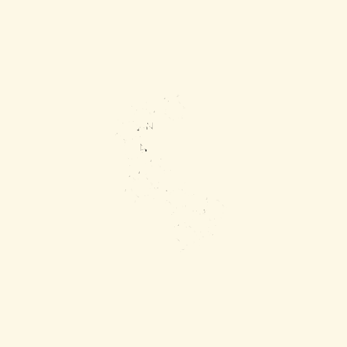 c1ccc(-c2ccc3ccc4ccc(-c5ccc(-c6ccc(-c7c8ccccc8cc8ccccc78)cc6)c6ccccc56)nc4c3n2)cc1